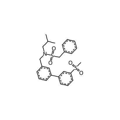 CC(C)CN(Cc1cccc(-c2cccc(S(C)(=O)=O)c2)c1)S(=O)(=O)Cc1ccccc1